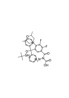 CC1CN(c2c(C(O[SiH2]C(C)(C)C)(c3ccccc3)c3ccccc3)cc(C(=O)N(N)C(=O)O)c(F)c2F)CC(C)O1